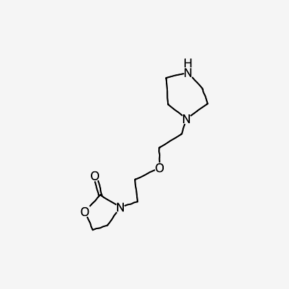 O=C1OCCN1CCOCCN1CCNCC1